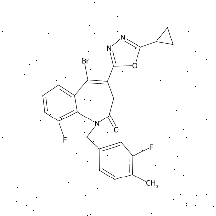 Cc1ccc(CN2C(=O)CC(c3nnc(C4CC4)o3)=C(Br)c3cccc(F)c32)cc1F